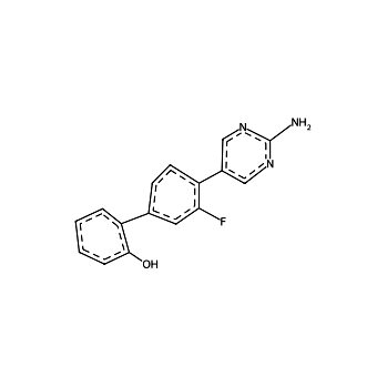 Nc1ncc(-c2ccc(-c3ccccc3O)cc2F)cn1